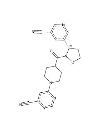 N#Cc1cncc([C@@H]2CCON2C(=O)C2CCN(c3cc(C#N)ncn3)CC2)c1